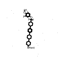 CCCCCC1CCC(C2CCC(c3ccc(C4CCC(C(F)(F)Oc5ccc(OC(F)(F)F)c(F)c5)CC4)cc3)CC2)CC1